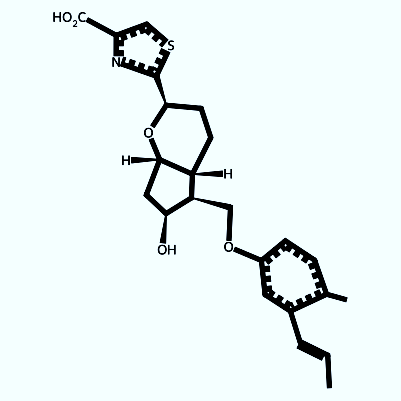 C/C=C/c1cc(OC[C@@H]2[C@H]3CC[C@H](c4nc(C(=O)O)cs4)O[C@H]3C[C@@H]2O)ccc1C